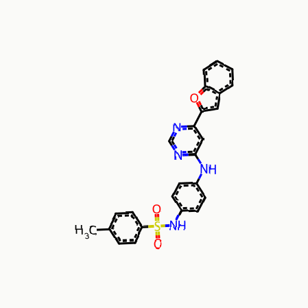 Cc1ccc(S(=O)(=O)Nc2ccc(Nc3cc(-c4cc5ccccc5o4)ncn3)cc2)cc1